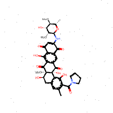 CO[C@@H]1[C@@H](O)[C@@H](OC)C(NC2=CC(=O)c3c(cc4c(c3O)C(=O)[C@]3(OC)[C@H](O)Cc5cc(C)c(C(=O)N6CCCC6)c(O)c5[C@]3(O)C4=O)C2=O)O[C@H]1C